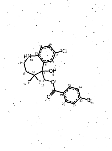 O=C(OCC1(O)c2cc(Cl)ccc2NCCC1(F)F)c1ccc(Br)cc1